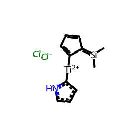 C[Si](C)=C1C=CC=[C]1[Ti+2][c]1ccc[nH]1.[Cl-].[Cl-]